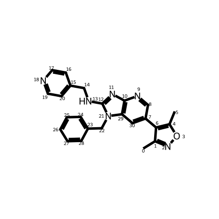 Cc1noc(C)c1-c1cnc2nc(NCc3ccncc3)n(Cc3ccccc3)c2c1